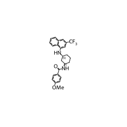 COc1ccc(C(=O)N[C@@H]2CCC[C@H](Nc3cc(C(F)(F)F)cc4ccccc34)C2)cc1